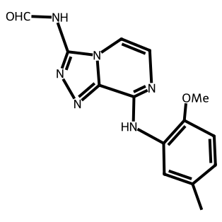 COc1ccc(C)cc1Nc1nccn2c(NC=O)nnc12